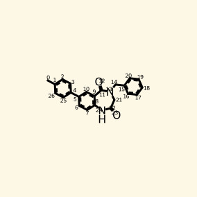 Cc1ccc(-c2ccc3c(c2)C(=O)N(Cc2ccccc2)CC(=O)N3)cc1